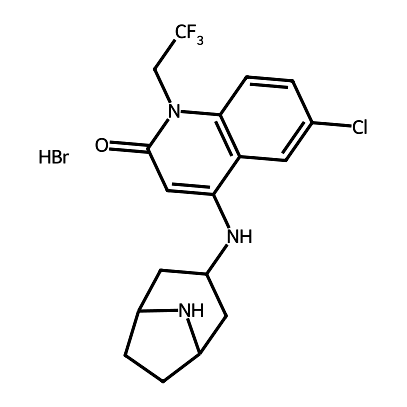 Br.O=c1cc(NC2CC3CCC(C2)N3)c2cc(Cl)ccc2n1CC(F)(F)F